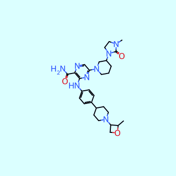 CC1OCC1N1CCC(c2ccc(Nc3nc(N4CCCC(N5CCN(C)C5=O)C4)cnc3C(N)=O)cc2)CC1